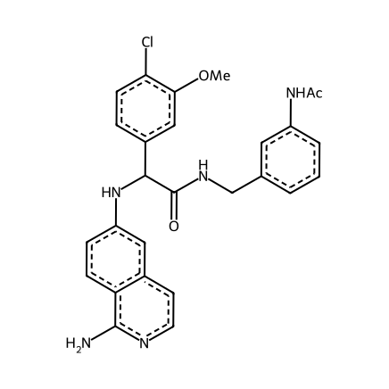 COc1cc(C(Nc2ccc3c(N)nccc3c2)C(=O)NCc2cccc(NC(C)=O)c2)ccc1Cl